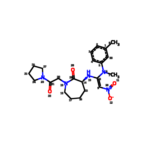 Cc1cccc(N(C)C(=C[N+](=O)[O-])N[C@H]2CCCCN(CC(=O)N3CCCC3)C2=O)c1